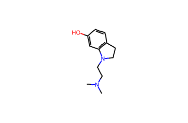 CN(C)CCN1CCc2ccc(O)cc21